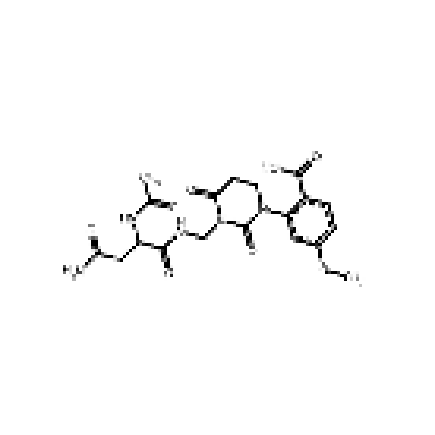 COc1ccc(C(=O)O)c(N2CCC(=O)N(CNC(=O)C(CC(N)=O)NC(C)=O)C2=O)c1